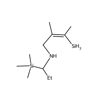 CCC(NCC(C)=C(C)[SiH3])[Si](C)(C)C